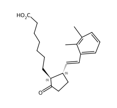 Cc1cccc(C=C[C@@H]2CCC(=O)[C@H]2CCCCCCC(=O)O)c1C